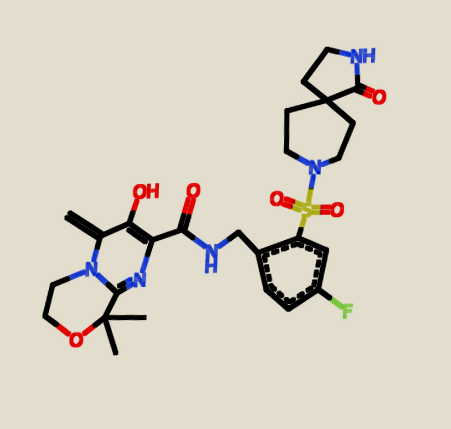 C=C1C(O)=C(C(=O)NCc2ccc(F)cc2S(=O)(=O)N2CCC3(CCNC3=O)CC2)N=C2N1CCOC2(C)C